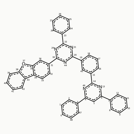 c1ccc(-c2cc(-c3ccccc3)nc(-c3cccc(-c4nc(-c5ccccc5)nc(-c5ccc6c(c5)oc5ccccc56)n4)c3)n2)cc1